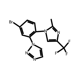 Cc1nc(C(F)(F)F)cn1-c1ccc(Br)cc1-n1[c]cnn1